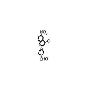 O=CN1CCN(c2cc(Cl)c3cc([N+](=O)[O-])ccc3n2)CC1